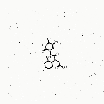 Cc1cn(CC(=O)N(CC(=O)O)C2CCCCC2N)c(=O)[nH]c1=O